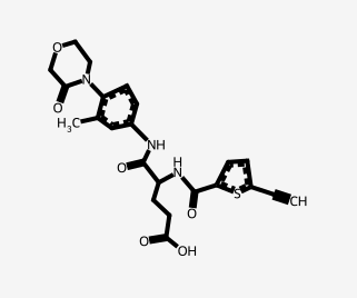 C#Cc1ccc(C(=O)NC(CCC(=O)O)C(=O)Nc2ccc(N3CCOCC3=O)c(C)c2)s1